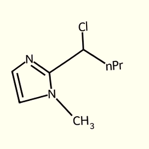 CCCC(Cl)c1nccn1C